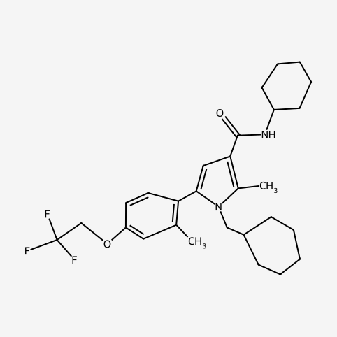 Cc1cc(OCC(F)(F)F)ccc1-c1cc(C(=O)NC2CCCCC2)c(C)n1CC1CCCCC1